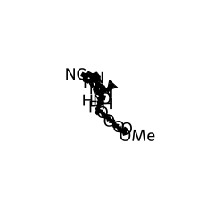 COC(=O)COCCOCCOC(C)C(F)CNC(=O)c1cnc(-n2ncc3cc(C#N)cnc32)cc1NC1CC1